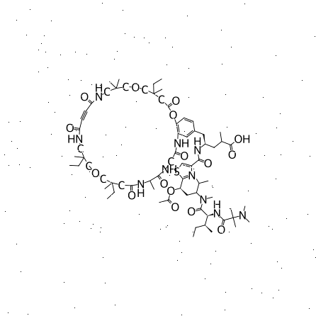 CC[C@H](C)[C@H](NC(=O)C(C)(C)N(C)C)C(=O)N(C)C(C[C@@H](OC(C)=O)c1nc(C(=O)N[C@@H](Cc2ccc3c(c2)NC(=O)CNC(=O)C(C)NC(=O)CC(C)(CC)COCC(C)(CC)CNC(=O)C#CC(=O)NCC(C)(C)COCC(C)(CC)CC(=O)O3)CC(C)C(=O)O)cs1)C(C)C